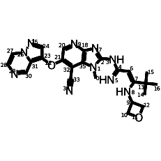 Cn1c(NC(=N)/C=C(\NC2COC2)C(C)(C)C)nc2ncc(Oc3cnn4ccncc34)c(C#N)c21